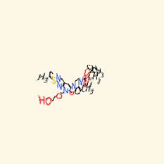 CSc1ncc2cc(N3CCN(C(=O)OC(C)(C)C)c4c(C)cccc43)c(=O)n(CCOCCO)c2n1